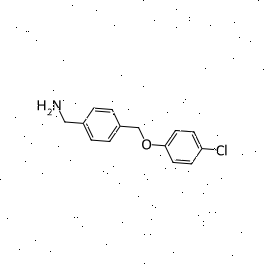 NCc1ccc(COc2ccc(Cl)cc2)cc1